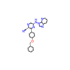 N#Cc1ncc(Nn2cnc3cccnc32)nc1-c1ccc(OCc2ccccc2)cc1